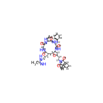 CC(=N)NCCC[C@@H]1CC(=O)[C@H](CCCCN2C(=O)C3C4C=C[C@H](C4)[C@@H]3C2=O)NC(=O)[C@@H](Cc2ccccc2)NC(=O)C(CC(C)=O)NC(=O)CNC1=O